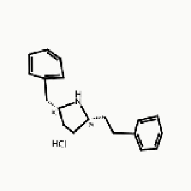 Cl.c1ccc(CC[C@@H]2CC[C@H](Cc3ccccc3)N2)cc1